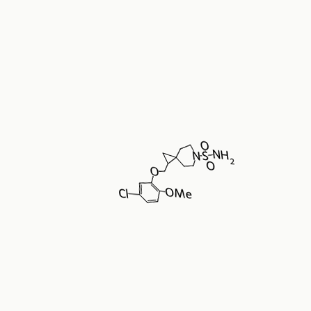 COc1ccc(Cl)cc1OCC1CC12CCN(S(N)(=O)=O)CC2